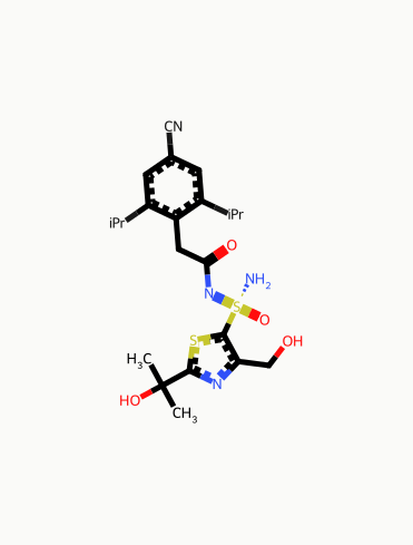 CC(C)c1cc(C#N)cc(C(C)C)c1CC(=O)N=[S@@](N)(=O)c1sc(C(C)(C)O)nc1CO